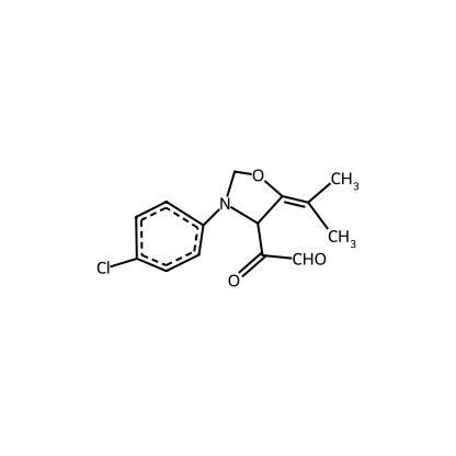 CC(C)=C1OCN(c2ccc(Cl)cc2)C1C(=O)C=O